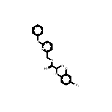 CC(C)C(Nc1ccc(C(F)(F)F)cc1Cl)C(=N)OCc1cccc(Oc2ccccc2)n1